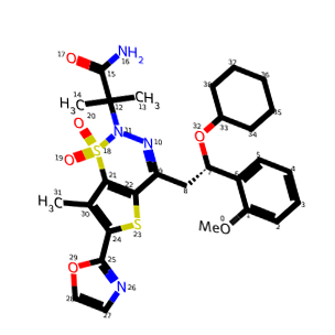 COc1ccccc1[C@H](CC1=NN(C(C)(C)C(N)=O)S(=O)(=O)c2c1sc(-c1ncco1)c2C)OC1CCCCC1